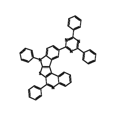 c1ccc(-c2nc(-c3ccccc3)nc(-c3ccc4c(c3)c3c5c(sc3n4-c3ccccc3)c(-c3ccccc3)nc3ccccc35)n2)cc1